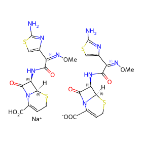 CO/N=C(\C(=O)N[C@@H]1C(=O)N2C(C(=O)O)=CCS[C@H]12)c1csc(N)n1.CO/N=C(\C(=O)N[C@@H]1C(=O)N2C(C(=O)[O-])=CCS[C@H]12)c1csc(N)n1.[Na+]